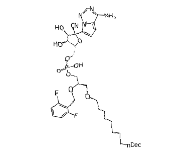 CCCCCCCCCCCCCCCCCCOC[C@H](COP(=O)(O)OC[C@H]1O[C@@](C#N)(c2ccc3c(N)ncnn23)[C@H](O)[C@@H]1O)OCc1c(F)cccc1F